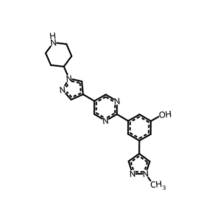 Cn1cc(-c2cc(O)cc(-c3ncc(-c4cnn(C5CCNCC5)c4)cn3)c2)cn1